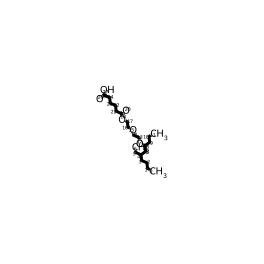 CCCCC(CC)CC(CCC)OCCOCCOC(=O)CCCCC(=O)O